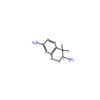 CC1(C)c2ccc(N)cc2CCC1N